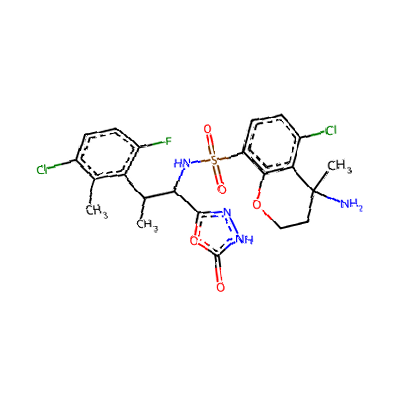 Cc1c(Cl)ccc(F)c1C(C)C(NS(=O)(=O)c1ccc(Cl)c2c1OCCC2(C)N)c1n[nH]c(=O)o1